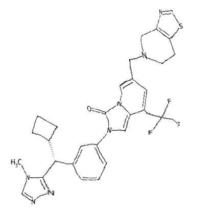 Cn1cnnc1[C@@H](c1cccc(-n2cc3c(C(F)(F)F)cc(CN4CCc5scnc5C4)cn3c2=O)c1)C1CCC1